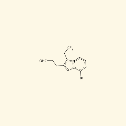 O=CCCc1cc2c(Br)cccn2c1CC(F)(F)F